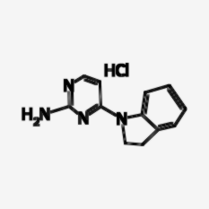 Cl.Nc1nccc(N2CCc3ccccc32)n1